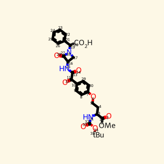 COC(=O)C(CCOc1ccc(C(=O)C(=O)NC2CN(C(C(=O)O)c3ccccc3)C2=O)cc1)NC(=O)OC(C)(C)C